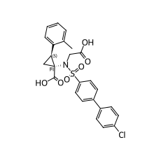 Cc1ccccc1[C@@H]1C[C@@]1(C(=O)O)N(CC(=O)O)S(=O)(=O)c1ccc(-c2ccc(Cl)cc2)cc1